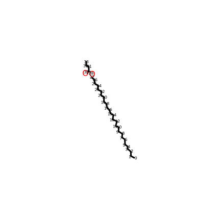 CCCCCCCCCCCCCCCCCCCCCCCCCCCCOC(=O)CCC